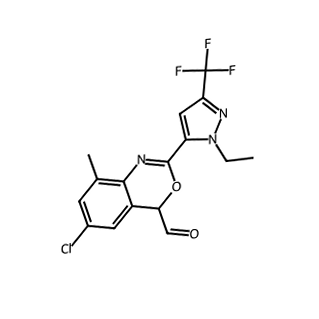 CCn1nc(C(F)(F)F)cc1C1=Nc2c(C)cc(Cl)cc2C(C=O)O1